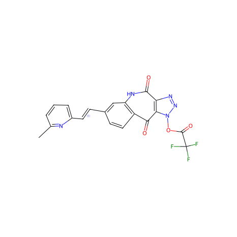 Cc1cccc(/C=C/c2ccc3c(=O)c4c(nnn4OC(=O)C(F)(F)F)c(=O)[nH]c3c2)n1